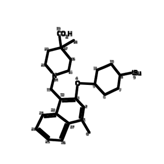 Cc1cc(OC2CCC(C(C)(C)C)CC2)c(CN2CCC(C)(C(=O)O)CC2)c2ccccc12